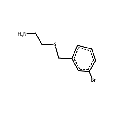 NCCSCc1cccc(Br)c1